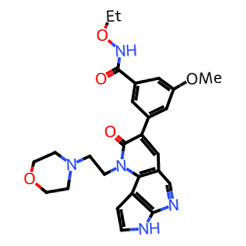 CCONC(=O)c1cc(OC)cc(-c2cc3cnc4[nH]ccc4c3n(CCN3CCOCC3)c2=O)c1